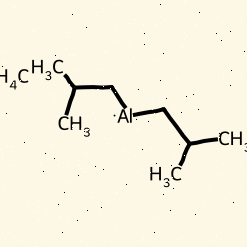 C.CC(C)[CH2][Al][CH2]C(C)C